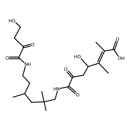 CC(C(=O)O)=C(C)C(O)CC(=O)C(=O)NCC(C)(C)CC(C)CCNC(=O)C(=O)CCO